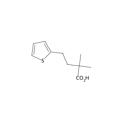 CC(C)(CCc1cccs1)C(=O)O